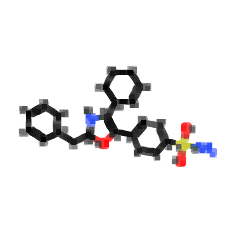 NS(=O)(=O)c1ccc(-c2oc(Cc3ccccc3)nc2C2C=CCCC2)cc1